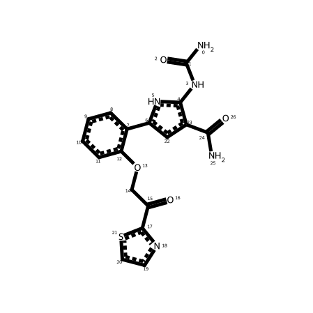 NC(=O)Nc1[nH]c(-c2ccccc2OCC(=O)c2nccs2)cc1C(N)=O